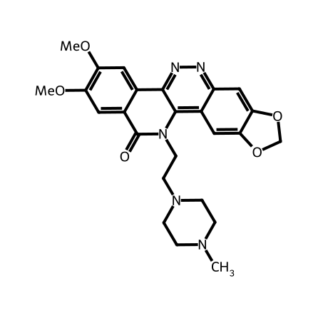 COc1cc2c(=O)n(CCN3CCN(C)CC3)c3c4cc5c(cc4nnc3c2cc1OC)OCO5